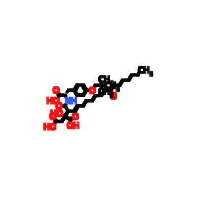 CCCCCCCC(=O)CCCCCC/C=C/[C@H](C(=O)N[C@@H](Cc1ccc(OCC(C)(C)C)cc1)C(=O)O)[C@@](O)(CC(=O)O)C(=O)O